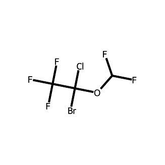 FC(F)OC(Cl)(Br)C(F)(F)F